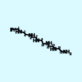 CC(C)CNCCNCCNCCNCCNCCN